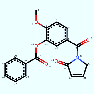 COc1ccc(C(=O)N2CC=CC2=O)cc1OC(=O)c1ccccc1